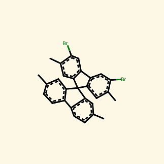 Cc1ccc2c(c1)C1(c3cc(C)ccc3-2)c2cc(C)c(Br)cc2-c2cc(Br)c(C)cc21